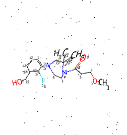 COCCC(=O)N1CCN(c2cccc(CO)c2F)CC1(C)C